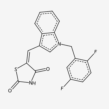 O=C1NC(=O)C(=Cc2cn(Cc3cc(F)ccc3F)c3ccccc23)S1